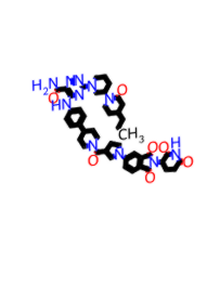 CCCC1CCN([C@@H]2CCCN(c3nnc(C(N)=O)c(Nc4ccc(C5CCN(C(=O)C6CCN(c7ccc8c(c7)C(=O)N(C7CCC(=O)NC7=O)C8=O)C6)CC5)cc4)n3)C2)C(=O)C1